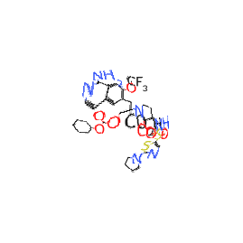 Nc1nccc2cc(C[C@@](COC(=O)OC3CCCCC3)(C(=O)O)N3CC[C@H](NS(=O)(=O)c4cnc(N5CCCC5)s4)C3=O)c(OC(F)(F)F)cc12